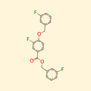 O=C(OCc1cccc(F)c1)c1ccc(OCc2cccc(F)c2)c(F)c1